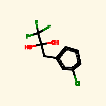 OC(O)(Cc1cccc(Cl)c1)C(F)(F)F